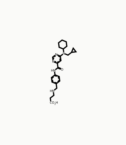 O=C(O)CCNCc1ccc(NC(=O)c2cc(N(CC3CC3)C3CCCCC3)ncn2)cc1